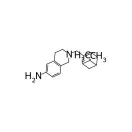 CC1(C)C2CC=C(CN3CCc4cc(N)ccc4C3)C1C2